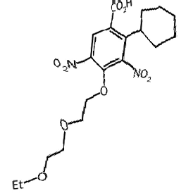 CCOCCOCCOc1c([N+](=O)[O-])cc(C(=O)O)c(C2CCCCC2)c1[N+](=O)[O-]